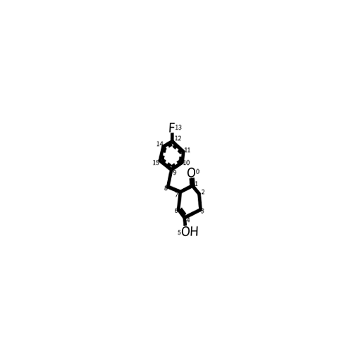 O=C1CCC(O)=CC1Cc1ccc(F)cc1